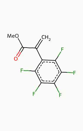 C=C(C(=O)OC)c1c(F)c(F)c(F)c(F)c1F